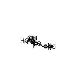 O=C(Cc1c(F)cc(OCCCC2CCN(c3ncc(Cl)cn3)CC2)cc1F)NC(CO)(CO)CO